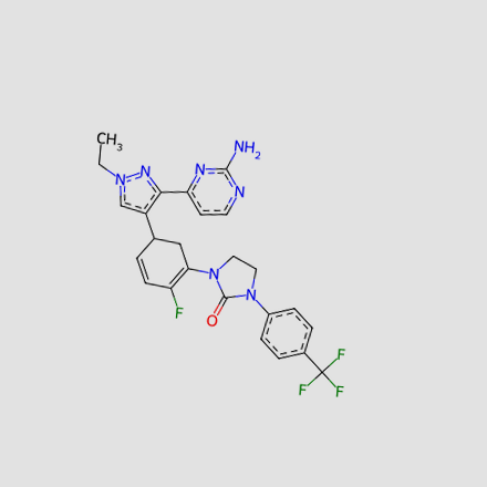 CCn1cc(C2C=CC(F)=C(N3CCN(c4ccc(C(F)(F)F)cc4)C3=O)C2)c(-c2ccnc(N)n2)n1